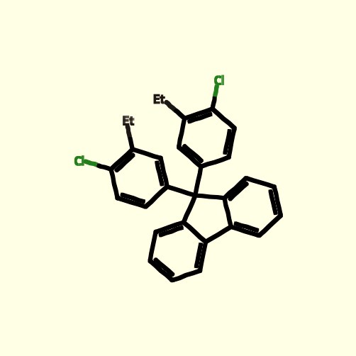 CCc1cc(C2(c3ccc(Cl)c(CC)c3)c3ccccc3-c3ccccc32)ccc1Cl